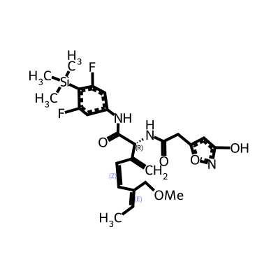 C=C(/C=C\C(=C/C)COC)[C@@H](NC(=O)Cc1cc(O)no1)C(=O)Nc1cc(F)c([Si](C)(C)C)c(F)c1